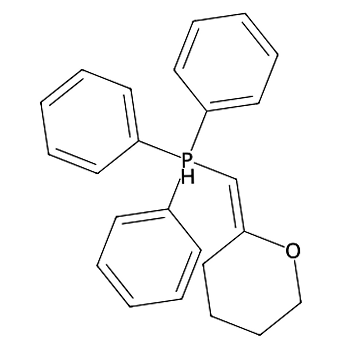 C(=C1CCCCO1)[PH](c1ccccc1)(c1ccccc1)c1ccccc1